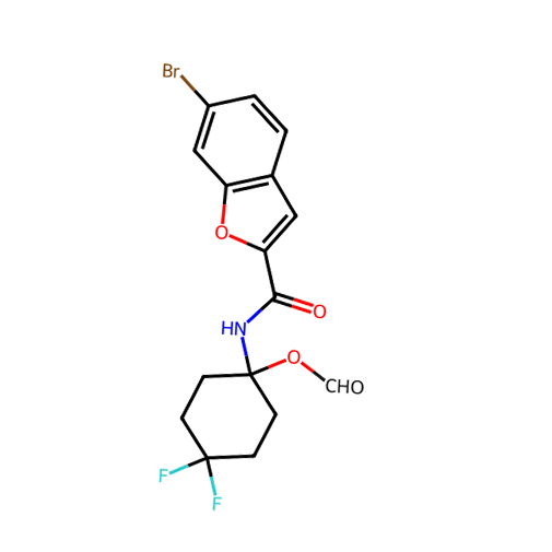 O=COC1(NC(=O)c2cc3ccc(Br)cc3o2)CCC(F)(F)CC1